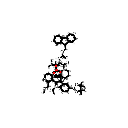 CCn1c(-c2cccnc2[C@H](C)OC)c([C@]2(C(=O)O)CCCN(C(=O)[C@@H](NC(=O)OCC3c4ccccc4-c4ccccc43)C(c3nc(Br)cs3)N(C)C)N2CC(C)(C)C)c2cc(B3OC(C)(C)C(C)(C)O3)ccc21